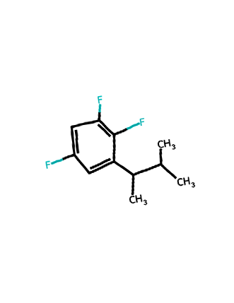 CC(C)C(C)c1cc(F)cc(F)c1F